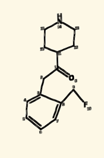 O=C(Cc1ccccc1CF)C1CCNCC1